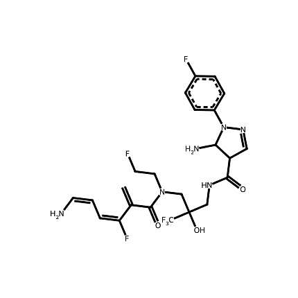 C=C(C(=O)N(CCF)CC(O)(CNC(=O)C1C=NN(c2ccc(F)cc2)C1N)C(F)(F)F)/C(F)=C\C=C/N